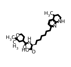 CC1CCNc2nc(CCCCCCC[C@H](NC(=O)C3CCOC(C)(C)C3)C(=O)O)ccc21